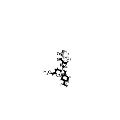 C/C=C(C#N)\C=C/CN(Cc1ccc(C(F)F)cc1F)c1nc(C(=O)N[S+](C)[O-])c(C)s1